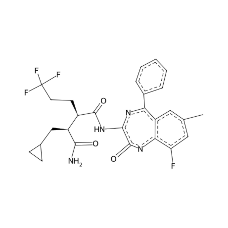 Cc1cc(F)c2nc(=O)c(NC(=O)[C@H](CCC(F)(F)F)[C@H](CC3CC3)C(N)=O)nc(-c3ccccc3)c2c1